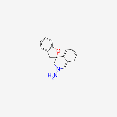 NN1C=C2CC=CC=C2C2(Cc3ccccc3O2)C1